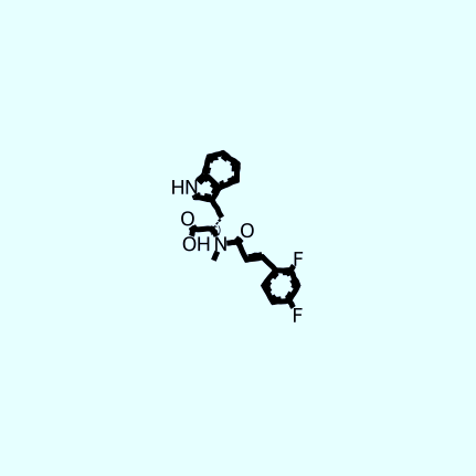 CN(C(=O)C=Cc1ccc(F)cc1F)[C@@H](Cc1c[nH]c2ccccc12)C(=O)O